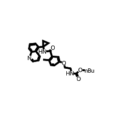 CCCCOC(=O)NCCOc1ccc(C)c(C(=O)NC2(c3cccc4ncccc34)CC2)c1